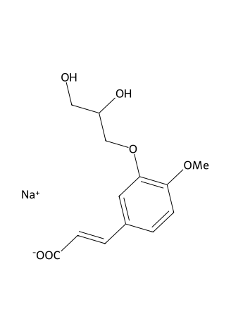 COc1ccc(C=CC(=O)[O-])cc1OCC(O)CO.[Na+]